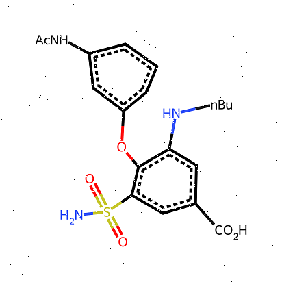 CCCCNc1cc(C(=O)O)cc(S(N)(=O)=O)c1Oc1cccc(NC(C)=O)c1